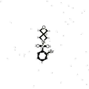 O=S(=O)(c1ccccc1Br)N1CC2(COC2)C1